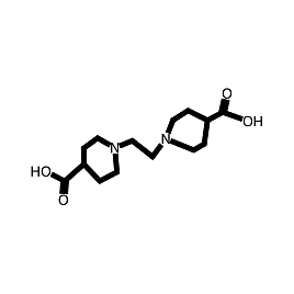 O=C(O)C1CCN(CCN2CCC(C(=O)O)CC2)CC1